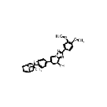 COc1ccc(-c2nc3n(n2)CC(c2ccc(N4CC5CCC(C4)N5C(C)C)cc2)CC3C)cc1OC